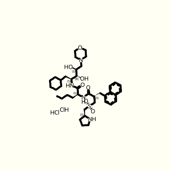 CCCC[C@H](NC(=O)[C@H](Cc1cccc2ccccc12)CS(=O)(=O)C[C@@H]1CCCN1)C(=O)N[C@@H](CC1CCCCC1)[C@@H](O)[C@@H](O)CN1CCOCC1.Cl.Cl